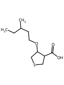 CCC(C)CCOC1CSCC1C(=O)O